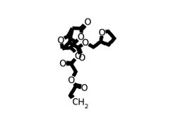 C=CC(=O)OCC(=O)OC1C2OC(=O)C3C2OC1C3C(=O)OCC1CCCO1